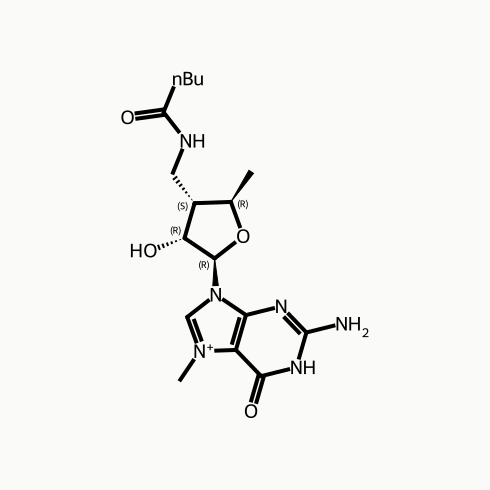 CCCCC(=O)NC[C@H]1[C@@H](O)[C@H](n2c[n+](C)c3c(=O)[nH]c(N)nc32)O[C@@H]1C